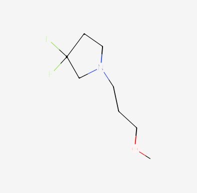 COCCCN1CCC(F)(F)C1